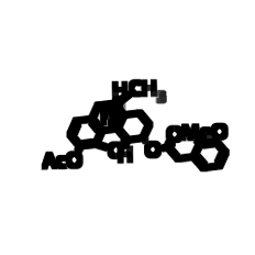 COc1ccccc1CC(=O)O[C@H]1CC[C@H]2[C@H]3Cc4ccc(OC(C)=O)c5c4[C@@]2(CC=[N+]3C)[C@H]1O5